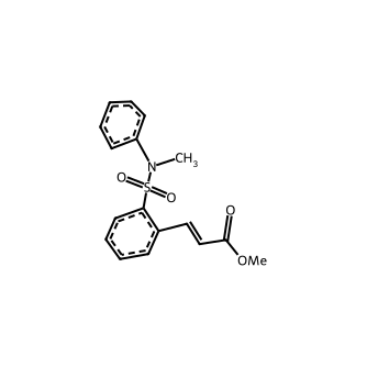 COC(=O)/C=C/c1ccccc1S(=O)(=O)N(C)c1ccccc1